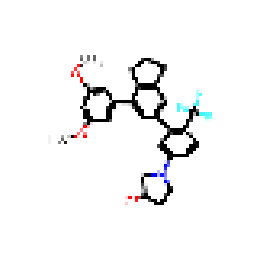 COc1cc(OC)cc(-c2cc(-c3cc(N4CCC(O)C4)ccc3C(F)(F)F)cc3c2CCC3)c1